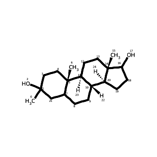 CC1(O)CC[C@@]2(C)C(CC[C@@H]3[C@@H]2CC[C@]2(C)C(O)CC[C@@H]32)C1